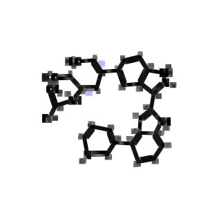 C=C/C(=C\C(=C/C)c1ccc2[nH]nc(-c3cc4c(-c5cccnc5)cccc4[nH]3)c2c1)NC(=C)CC